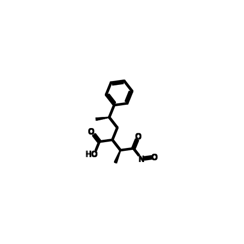 C[C@H](CC(C(=O)O)[C@H](C)C(=O)N=O)c1ccccc1